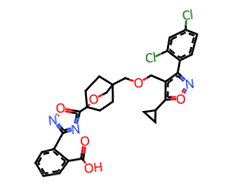 O=C(O)c1ccccc1-c1noc(C23CCC(COCc4c(-c5ccc(Cl)cc5Cl)noc4C4CC4)(CC2)CO3)n1